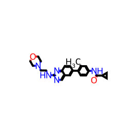 Cc1cc(NC(=O)C2CC2)ccc1-c1ccc2nc(NCCN3CCOCC3)ncc2c1